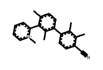 Cc1ccc(-c2ccc(C#N)c(C)c2C)c(C)c1-c1cccc[n+]1C